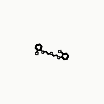 Clc1ccccc1OCCOCCOc1ccccc1Cl